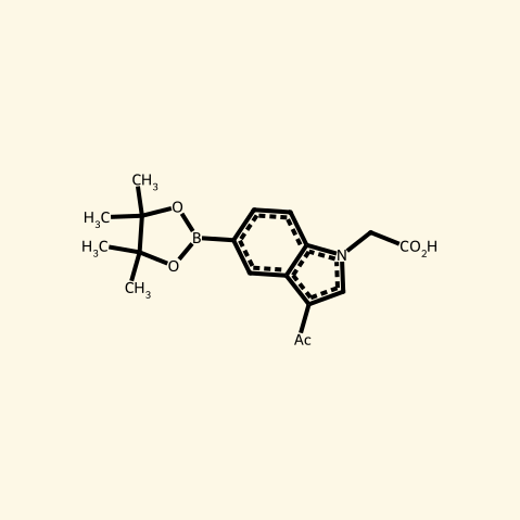 CC(=O)c1cn(CC(=O)O)c2ccc(B3OC(C)(C)C(C)(C)O3)cc12